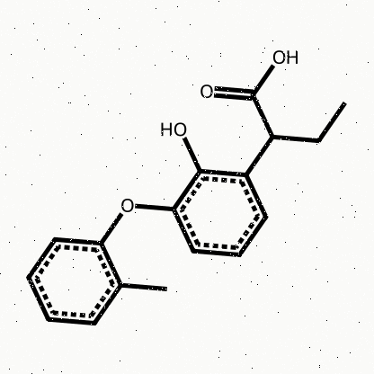 CCC(C(=O)O)c1cccc(Oc2ccccc2C)c1O